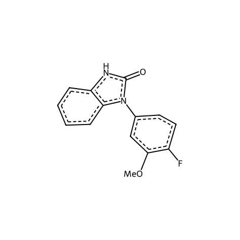 COc1cc(-n2c(=O)[nH]c3ccccc32)ccc1F